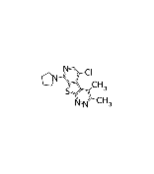 Cc1nnc2sc3c(N4CCCC4)ncc(Cl)c3c2c1C